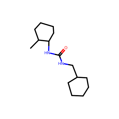 CC1CCCCC1NC(=O)NCC1CCCCC1